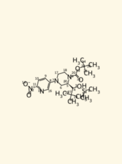 C[SiH](C)OC([C@H]1CN(c2ccc([N+](=O)[O-])nc2)CCN1C(=O)OC(C)(C)C)C(C)(C)C